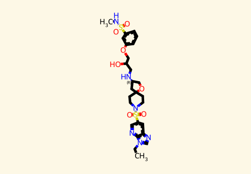 CCn1cnc2cc(S(=O)(=O)N3CCC4(CC3)C[C@@H](NCC(O)COc3cccc(S(=O)(=O)NC)c3)CO4)cnc21